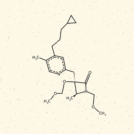 [CH2][C@@H]1N(COC)C(=O)[C@]1(Cc1cc(CCCC2CC2)c(C)cn1)OCOC